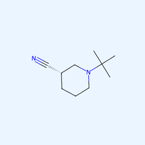 CC(C)(C)N1CCC[C@H](C#N)C1